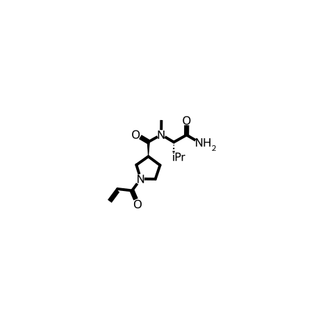 C=CC(=O)N1CC[C@H](C(=O)N(C)[C@H](C(N)=O)C(C)C)C1